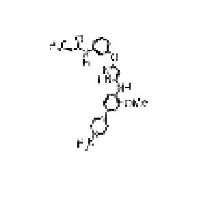 C=CC(=O)Nc1cccc(Oc2cc(Nc3ccc(N4CCN(C)CC4)cc3OC)[nH]n2)c1